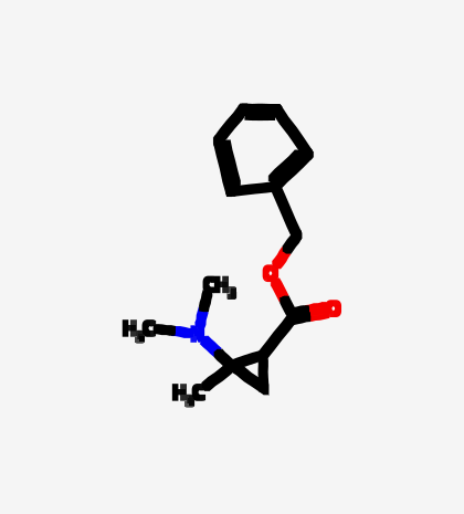 CN(C)C1(C)CC1C(=O)OCc1ccccc1